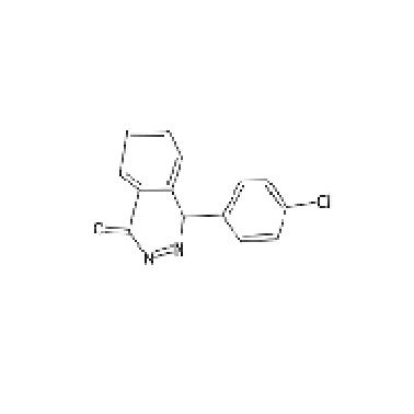 O=C1N=NC(c2ccc(Cl)cc2)c2ccccc21